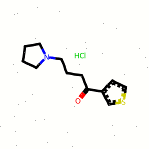 Cl.O=C(CCCN1CCCC1)c1ccsc1